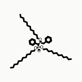 CCCCCCCCCCCCON(Cc1ccccc1)C(c1ccccc1)P(=O)(OCCCCCCCCCCCC)OCCCCCCCCCCCC